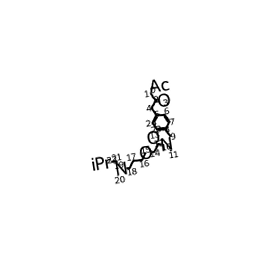 CC(=O)CC(=O)Cc1ccc(CN(C)C(=O)COCCCN(C)CC(C)C)cc1